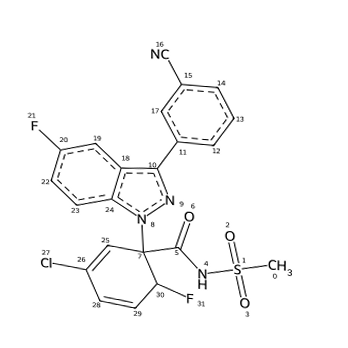 CS(=O)(=O)NC(=O)C1(n2nc(-c3cccc(C#N)c3)c3cc(F)ccc32)C=C(Cl)C=CC1F